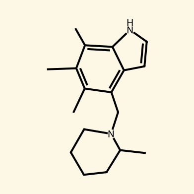 Cc1c(C)c(C)c2[nH]ccc2c1CN1CCCCC1C